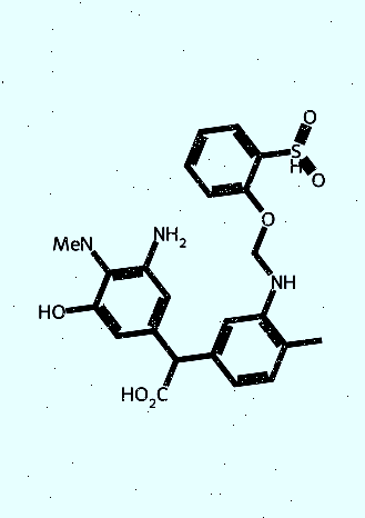 CNc1c(N)cc(C(C(=O)O)c2ccc(C)c(NCOc3ccccc3[SH](=O)=O)c2)cc1O